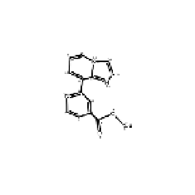 CC(C)(C)OC(=O)c1ccnc(-c2cccn3cnnc23)c1